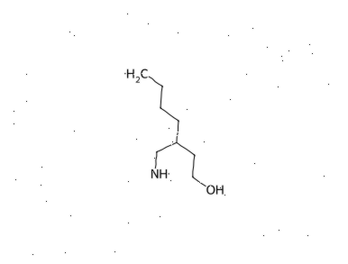 [CH2]CCCC(C[NH])CCO